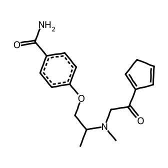 CC(COc1ccc(C(N)=O)cc1)N(C)CC(=O)C1=CCC=C1